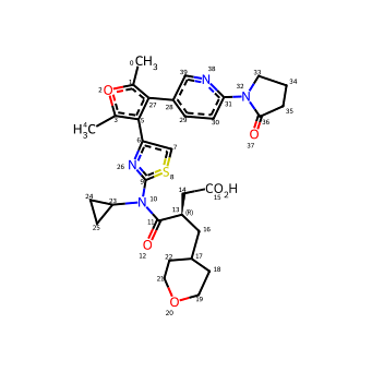 Cc1oc(C)c(-c2csc(N(C(=O)[C@@H](CC(=O)O)CC3CCOCC3)C3CC3)n2)c1-c1ccc(N2CCCC2=O)nc1